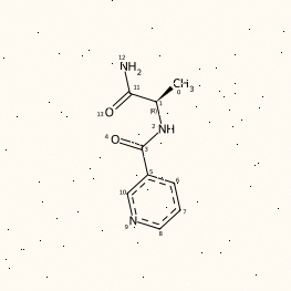 C[C@@H](NC(=O)c1cccnc1)C(N)=O